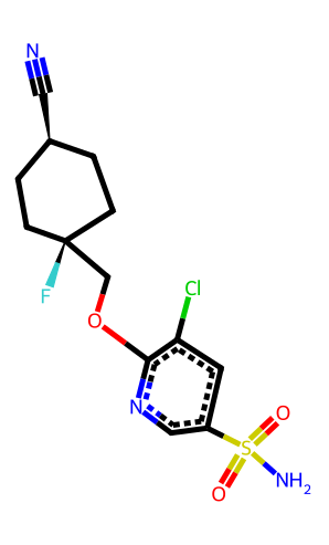 N#C[C@H]1CC[C@](F)(COc2ncc(S(N)(=O)=O)cc2Cl)CC1